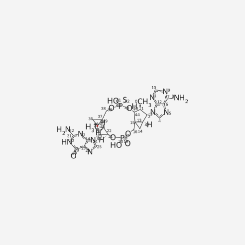 C[C@H]1[C@H](n2cnc3c(N)ncnc32)[C@H]2CC23COP(=O)(O)O[C@H]2[C@H](n4cnc5c(=O)[nH]c(N)nc54)[C@H]4CC4(COP(O)(=S)O[C@@H]13)[C@H]2C